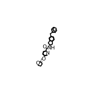 O=C(N[C@@H]1Cc2ccc(CN3CC4CCC3CC4)cc2C1)c1ccc(OC[C@@H]2CCCO2)cn1